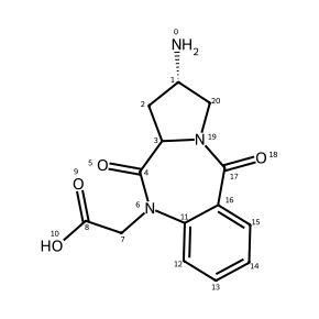 N[C@H]1CC2C(=O)N(CC(=O)O)c3ccccc3C(=O)N2C1